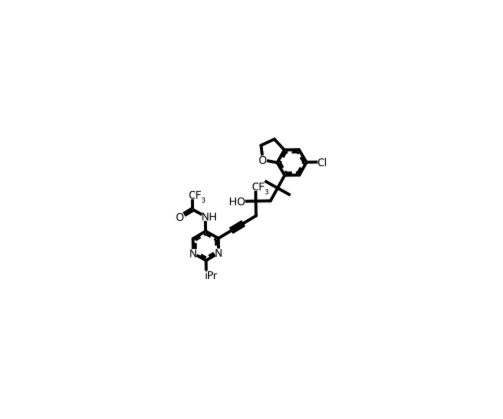 CC(C)c1ncc(NC(=O)C(F)(F)F)c(C#CCC(O)(CC(C)(C)c2cc(Cl)cc3c2OCC3)C(F)(F)F)n1